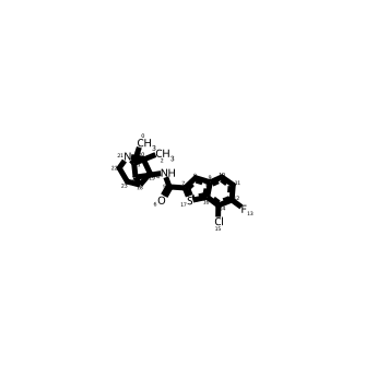 CC1(C)C(NC(=O)c2cc3ccc(F)c(Cl)c3s2)C2CCN1CC2